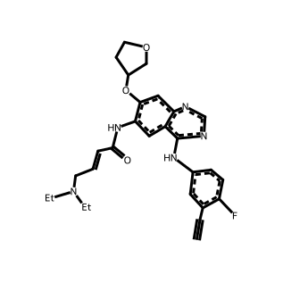 C#Cc1cc(Nc2ncnc3cc(OC4CCOC4)c(NC(=O)C=CCN(CC)CC)cc23)ccc1F